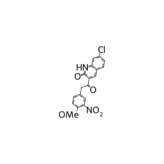 COc1ccc(CC(=O)c2cc3ccc(Cl)cc3[nH]c2=O)cc1[N+](=O)[O-]